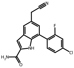 N#CCc1cc(-c2ccc(Cl)cc2F)c2[nH]c(C(N)=O)cc2c1